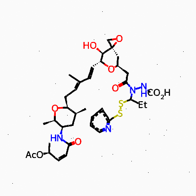 CCC(SSc1ccccn1)N(NC(=O)O)C(=O)C[C@@H]1C[C@@]2(CO2)[C@H](O)[C@@H](/C=C/C(C)=C/C[C@@H]2O[C@H](C)[C@H](NC(=O)/C=C\[C@H](C)OC(C)=O)C[C@@H]2C)O1